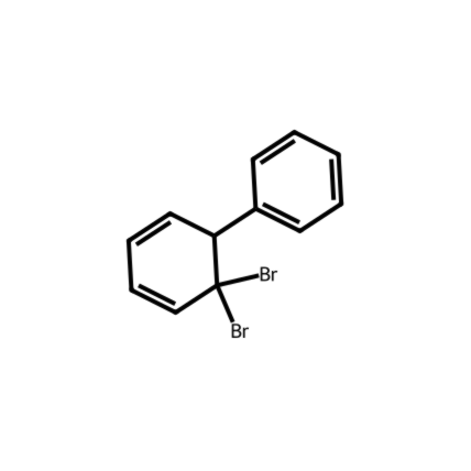 BrC1(Br)C=CC=CC1c1ccccc1